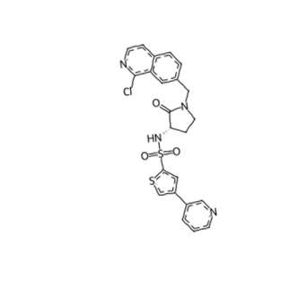 O=C1[C@@H](NS(=O)(=O)c2cc(-c3cccnc3)cs2)CCN1Cc1ccc2ccnc(Cl)c2c1